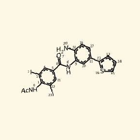 CC(=O)Nc1c(I)cc(C(=O)Nc2cc(-c3cccs3)ccc2N)cc1I